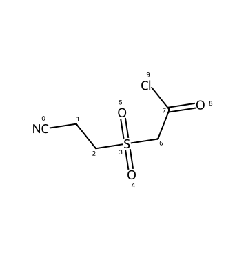 N#CCCS(=O)(=O)CC(=O)Cl